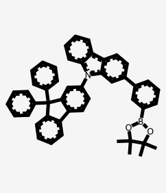 CC1(C)OB(c2cccc(-c3ccc4c5ccccc5n(-c5ccc6c(c5)C(c5ccccc5)(c5ccccc5)c5ccccc5-6)c4c3)c2)OC1(C)C